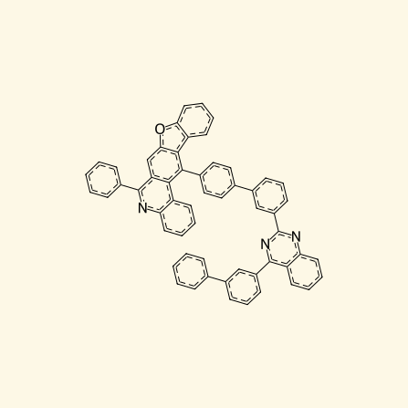 c1ccc(-c2cccc(-c3nc(-c4cccc(-c5ccc(-c6c7c(cc8c(-c9ccccc9)nc9ccccc9c68)oc6ccccc67)cc5)c4)nc4ccccc34)c2)cc1